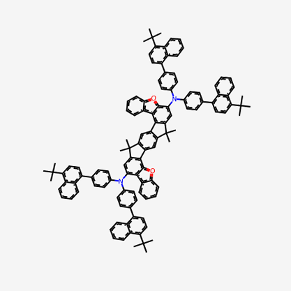 CC(C)(C)c1ccc(-c2ccc(N(c3ccc(-c4ccc(C(C)(C)C)c5ccccc45)cc3)c3cc4c(c5c3oc3ccccc35)-c3cc5c(cc3C4(C)C)-c3c(cc(N(c4ccc(-c6ccc(C(C)(C)C)c7ccccc67)cc4)c4ccc(-c6ccc(C(C)(C)C)c7ccccc67)cc4)c4c3oc3ccccc34)C5(C)C)cc2)c2ccccc12